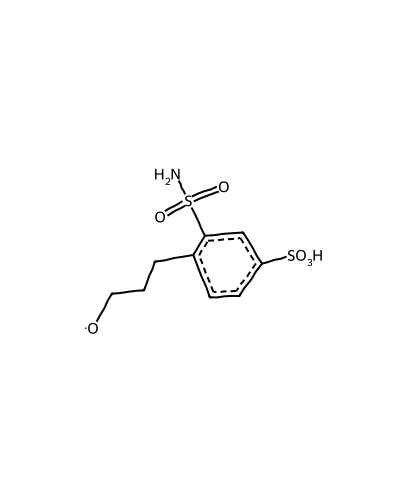 NS(=O)(=O)c1cc(S(=O)(=O)O)ccc1CCC[O]